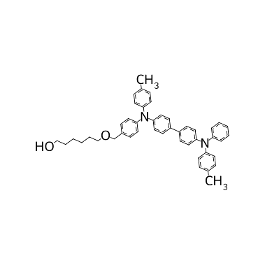 Cc1ccc(N(c2ccccc2)c2ccc(-c3ccc(N(c4ccc(C)cc4)c4ccc(COCCCCCCO)cc4)cc3)cc2)cc1